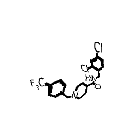 O=C(NCc1ccc(Cl)cc1Cl)C1CCN(Cc2ccc(C(F)(F)F)cc2)CC1